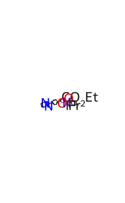 CCOC(=O)c1cc(-c2ccc(-c3cn4ccccc4n3)cc2)oc1N(C(=O)[C@H]1CC[C@H](C)CC1)C(C)C